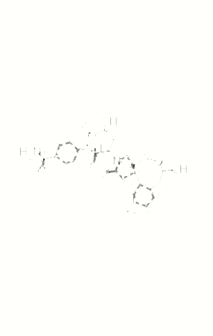 COC(C)CC(C(=O)Nc1ccc(C(N)=O)cc1)n1cc2c(cc1=O)-c1cc(Cl)ccc1CC(C)OC2